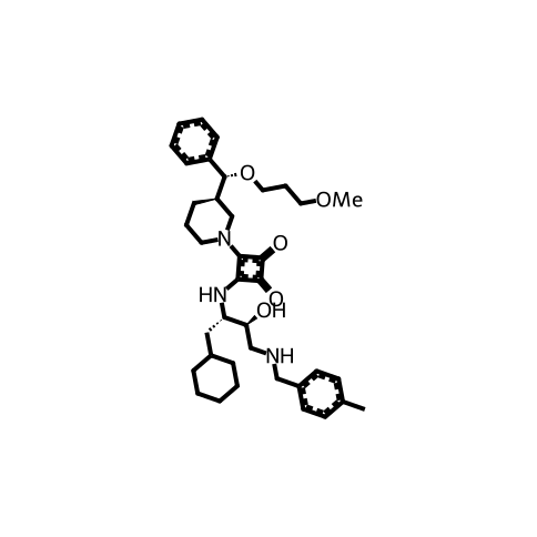 COCCCO[C@@H](c1ccccc1)[C@@H]1CCCN(c2c(N[C@@H](CC3CCCCC3)[C@@H](O)CNCc3ccc(C)cc3)c(=O)c2=O)C1